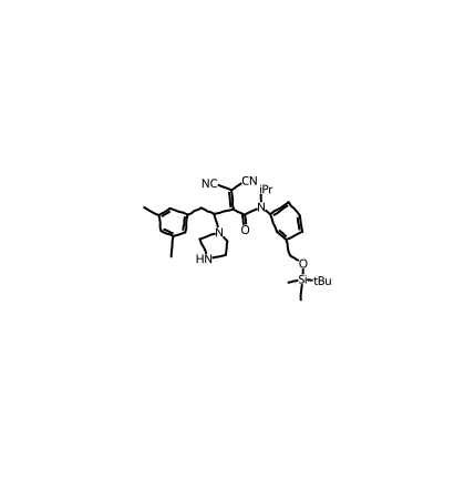 Cc1cc(C)cc(CC(C(C(=O)N(c2cccc(CO[Si](C)(C)C(C)(C)C)c2)C(C)C)=C(C#N)C#N)N2CCNC2)c1